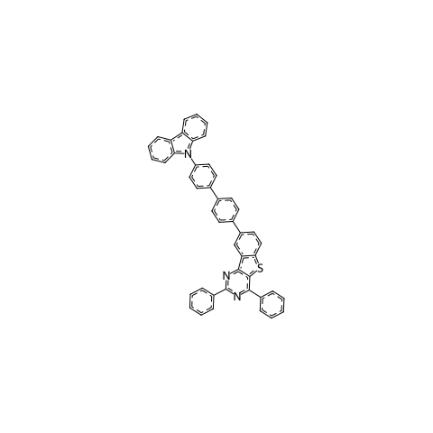 c1ccc(-c2nc(-c3ccccc3)c3sc4ccc(-c5ccc(-c6ccc(-n7c8ccccc8c8ccccc87)cc6)cc5)cc4c3n2)cc1